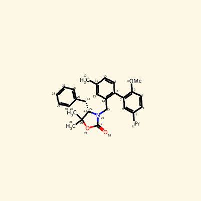 COc1ccc(C(C)C)cc1-c1ccc(C)cc1CN1C(=O)OC(C)(C)[C@@H]1Cc1ccccc1